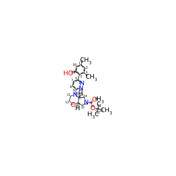 Cc1cc(C)c(-c2ccc(N3CCO[C@@H]4CN(C(=O)OC(C)(C)C)C[C@H]43)nn2)c(O)c1